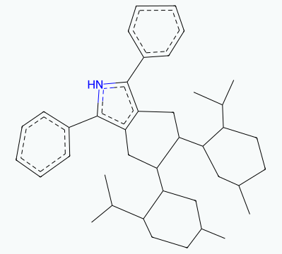 CC1CCC(C(C)C)C(C2Cc3c(-c4ccccc4)[nH]c(-c4ccccc4)c3CC2C2CC(C)CCC2C(C)C)C1